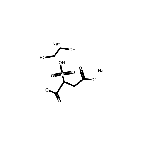 O=C([O-])CC(C(=O)[O-])S(=O)(=O)O.OCCO.[Na+].[Na+]